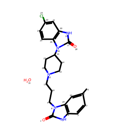 Cc1ccc2[nH]c(=O)n(CCCN3CCC(n4c(=O)[nH]c5cc(Cl)ccc54)CC3)c2c1.O